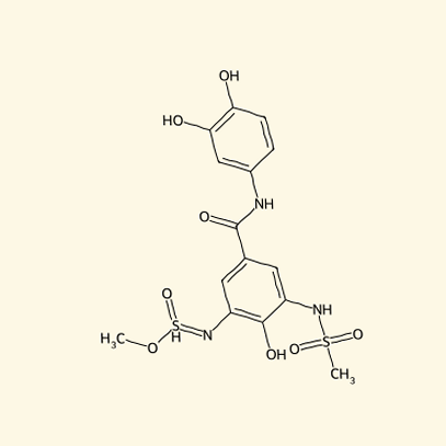 CO[SH](=O)=Nc1cc(C(=O)Nc2ccc(O)c(O)c2)cc(NS(C)(=O)=O)c1O